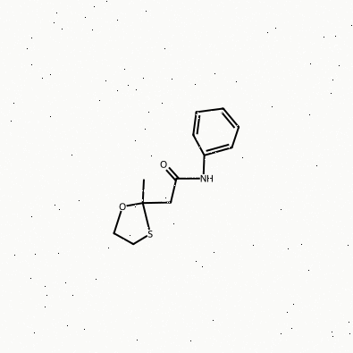 CC1(CC(=O)Nc2ccccc2)OCCS1